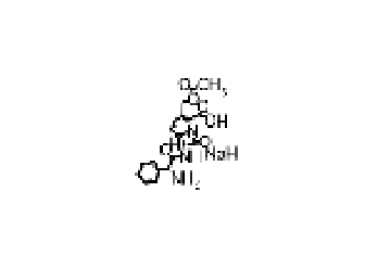 CC(=O)OCC1=C(C(=O)O)N2C(=O)[C@@H](NC(=O)[C@H](N)c3ccccc3)[C@H]2SC1.[NaH]